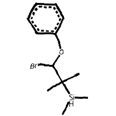 C[SiH](C)C(C)(C)C(Br)Oc1ccccc1